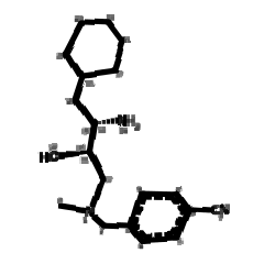 CN(Cc1ccc(C#N)cc1)C[C@@H](O)[C@@H](N)CC1CCCCC1